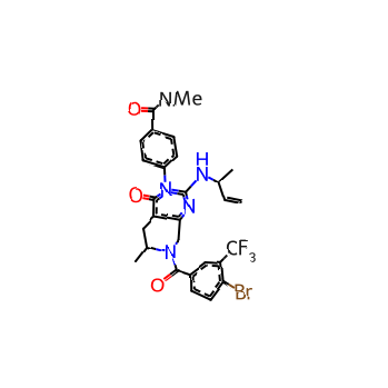 C=CC(C)Nc1nc2c(c(=O)n1-c1ccc(C(=O)NC)cc1)CC(C)N(C(=O)c1ccc(Br)c(C(F)(F)F)c1)C2